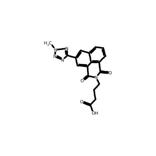 Cn1nnc(-c2cc3c4c(cccc4c2)C(=O)N(CCCC(=O)O)C3=O)n1